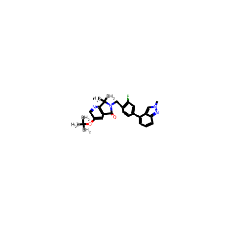 BC(B)(B)Oc1cnc2c(c1)C(=O)N(Cc1ccc(-c3cccc4nn(C)cc34)cc1F)C2(B)B